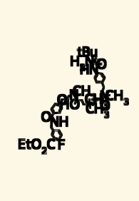 CCOC(=O)c1cc(CNC(=O)c2ccc(OCCN(C)C(O)CCC(C)(C)CCC(=O)N(C)CCc3ccc(NC(=O)[C@@H](N)CC(C)(C)C)cc3)cc2)ccc1F